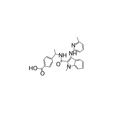 Cc1cccc(Nc2c(C(=O)NC(C)c3ccc(C(=O)O)cc3)n(C)c3ccccc23)n1